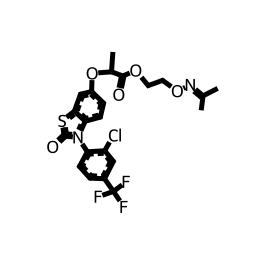 CC(C)=NOCCOC(=O)C(C)Oc1ccc2c(c1)sc(=O)n2-c1ccc(C(F)(F)F)cc1Cl